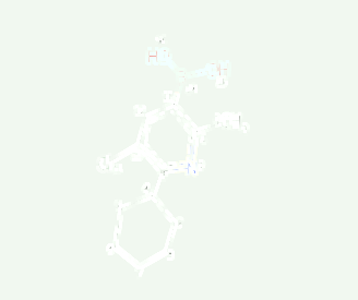 Cc1nc(C2CCCCC2)c(Cl)cc1B(O)O